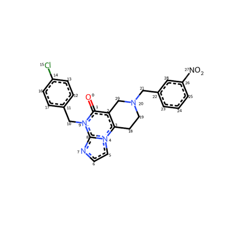 O=c1c2c(n3ccnc3n1Cc1ccc(Cl)cc1)CCN(Cc1cccc([N+](=O)[O-])c1)C2